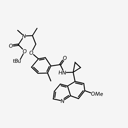 COc1cc(C2(NC(=O)c3cc(OCC(C)N(C)C(=O)OC(C)(C)C)ccc3C)CC2)c2cccnc2c1